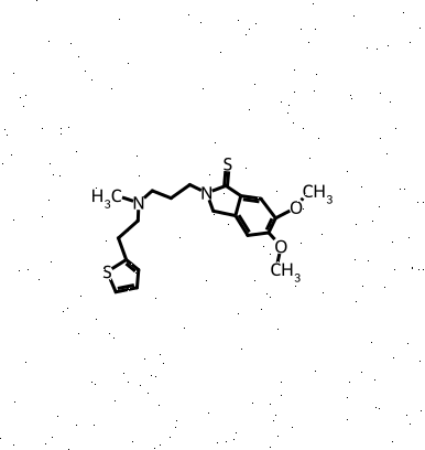 COc1cc2c(cc1OC)C(=S)N(CCCN(C)CCc1cccs1)C2